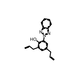 C=CCc1cc(CC=C)c(O)c(-n2nc3ccccc3n2)c1